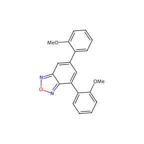 COc1ccccc1-c1cc(-c2ccccc2OC)c2nonc2c1